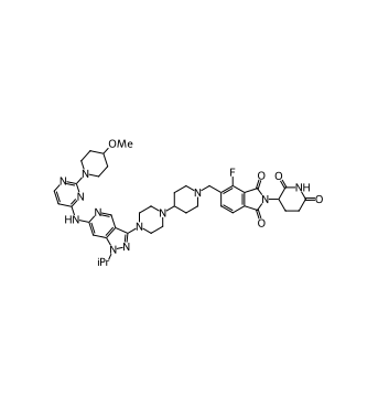 COC1CCN(c2nccc(Nc3cc4c(cn3)c(N3CCN(C5CCN(Cc6ccc7c(c6F)C(=O)N(C6CCC(=O)NC6=O)C7=O)CC5)CC3)nn4C(C)C)n2)CC1